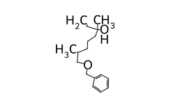 C=CC(C)(O)CCCC(C)COCc1ccccc1